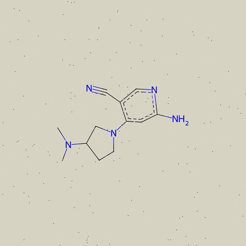 CN(C)C1CCN(c2cc(N)ncc2C#N)C1